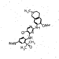 CNc1ccc(Nc2nc(Nc3cc4c(cc3OC)CCN(C)C4)ncc2Cl)c(P(C)(C)=O)c1